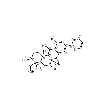 C[C@]12CC[C@H](O)[C@@](C)(CO)C1C[C@H](O)[C@@]1(C)OC3=C(C(O)OC(c4cccnc4)=C3)[C@H](O)C21